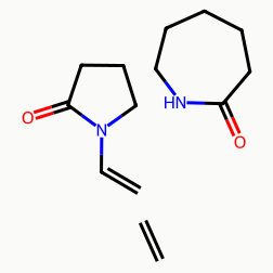 C=C.C=CN1CCCC1=O.O=C1CCCCCN1